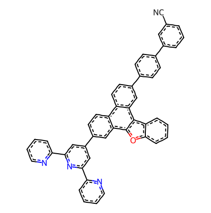 N#Cc1cccc(-c2ccc(-c3ccc4c5ccc(-c6cc(-c7ccccn7)nc(-c7ccccn7)c6)cc5c5oc6ccccc6c5c4c3)cc2)c1